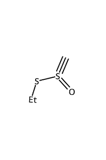 C#S(=O)SCC